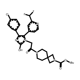 CC(C)(C)OC(=O)N1CC2(CCN(C(=O)Cn3c(O)nc(-c4ccc(Cl)cc4)c3-c3ccnc(C(F)F)c3)CC2)C1